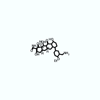 CCOC1CCC(C2CCC(O)C3C(=O)C4C(O)[C@]5(O)C(=O)C(C(N)=O)=C(O)C[C@@H]5C[C@@H]4CC23)CC1CN